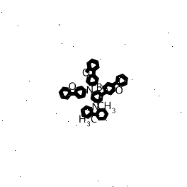 CC12CCCCC1(C)N(c1cc3c4c(c1)N(c1ccc5c(c1)oc1ccccc15)c1cc5oc6ccccc6c5cc1B4c1cc4c(cc1-3)oc1ccccc14)c1ccccc12